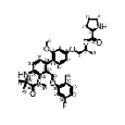 COc1cc(OC[C@H](C)OC(=O)C2CCCN2)ccc1-c1ccc2c(c1COc1cc(F)ccc1C)N(C)C(=O)C(C)(C)N2